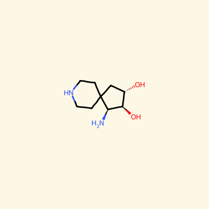 N[C@@H]1[C@H](O)[C@@H](O)CC12CCNCC2